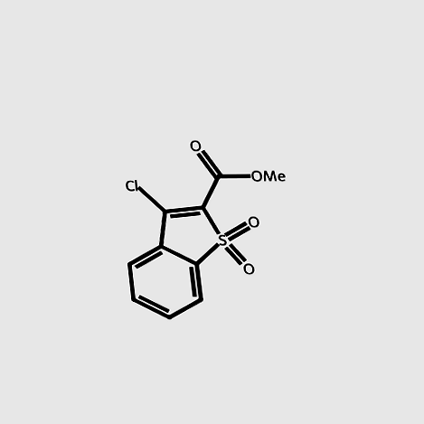 COC(=O)C1=C(Cl)c2ccccc2S1(=O)=O